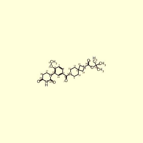 COc1ccc(C(=O)N2CCC3(CC2)CN(C(=O)OC(C)(C)C)C3)cc1N1CCC(=O)NC1=O